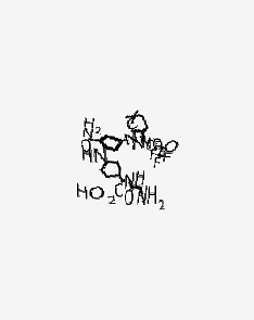 CC1(C)CCc2c(C(F)(F)F)nn(-c3ccc(C(N)=O)c(NC4CCC(C(NC(=O)CN)C(=O)O)CC4)c3)c2C1.O=C(O)C(F)(F)F